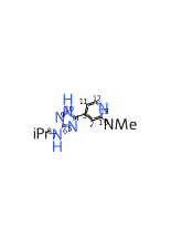 CNc1cc(-c2nc(NC(C)C)n[nH]2)ccn1